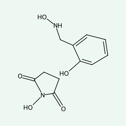 O=C1CCC(=O)N1O.ONCc1ccccc1O